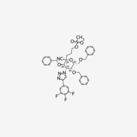 CS(=O)(=O)OCCC[C@]1(C#N)O[C@H](COCc2ccccc2)[C@H](OCc2ccccc2)[C@H](n2cc(-c3cc(F)c(F)c(F)c3)nn2)[C@H]1OCc1ccccc1